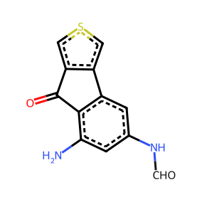 Nc1cc(NC=O)cc2c1C(=O)c1cscc1-2